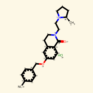 C[C@@H]1CCCN1CCN1CCc2cc(OCc3ccc(C#N)cc3)ccc2C1=O.Cl